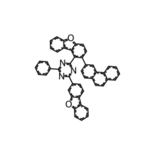 c1ccc(-c2nc(-c3ccc4c(c3)oc3ccccc34)nc(-c3c(-c4ccc5ccc6ccccc6c5c4)ccc4oc5ccccc5c34)n2)cc1